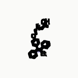 CC/C(=C(\c1ccccc1)c1ccc(OCCN(C)CC(C)O)cc1)c1ccccc1